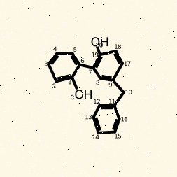 Oc1ccccc1-c1cc(Cc2ccccc2)ccc1O